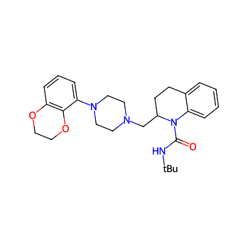 CC(C)(C)NC(=O)N1c2ccccc2CCC1CN1CCN(c2cccc3c2OCCO3)CC1